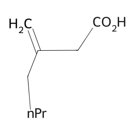 C=C(CCCC)CC(=O)O